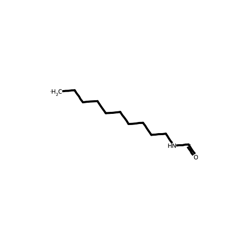 [CH2]CCCCCCCCCN[C]=O